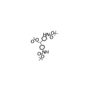 CC(=O)OCC(c1ccc(NC(=O)OC(C)(C)C)cc1)c1ccc(NC(=O)OC(C)(C)C)cc1